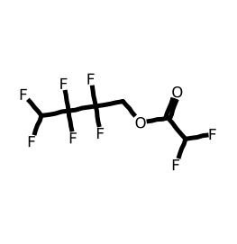 O=C(OCC(F)(F)C(F)(F)C(F)F)C(F)F